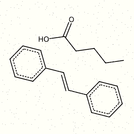 C(=C\c1ccccc1)/c1ccccc1.CCCCC(=O)O